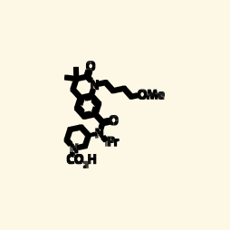 COCCCCN1C(=O)C(C)(C)Cc2ccc(C(=O)N(C(C)C)[C@@H]3CCCN(C(=O)O)C3)cc21